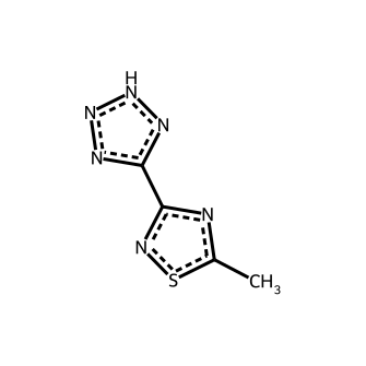 Cc1nc(-c2nn[nH]n2)ns1